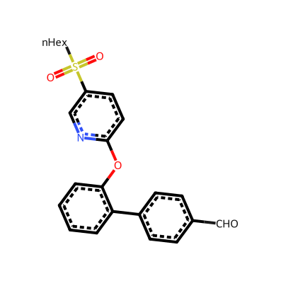 CCCCCCS(=O)(=O)c1ccc(Oc2ccccc2-c2ccc(C=O)cc2)nc1